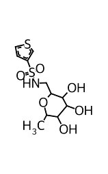 CC1OC(CNS(=O)(=O)c2ccsc2)C(O)C(O)C1O